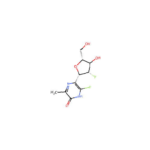 Cc1nc([C@@H]2O[C@H](CO)C(O)[C@@H]2F)c(F)[nH]c1=O